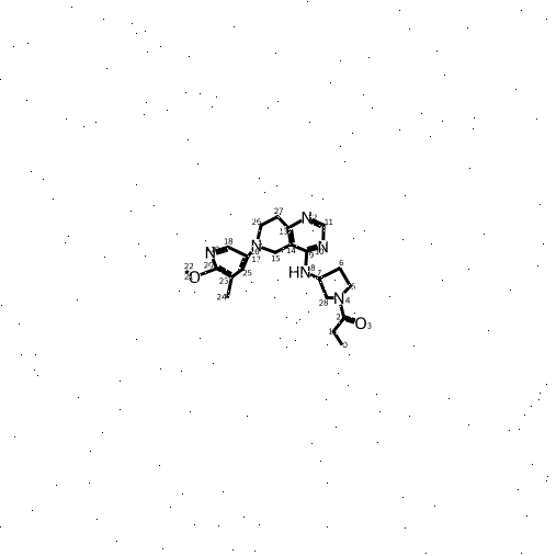 CCC(=O)N1CCC(Nc2ncnc3c2CN(c2cnc(OC)c(C)c2)CC3)C1